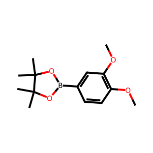 COc1ccc(B2OC(C)(C)C(C)(C)O2)cc1OC